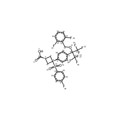 O=C(O)[C@H]1C[C@](c2ccc(C(OCc3c(F)cccc3F)(C(F)(F)F)C(F)(F)F)cc2)(S(=O)(=O)c2ccc(F)cc2)C1